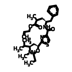 C=CCOC(=O)[C@@H](C)C[C@H](Cc1ccccc1)NC(=O)c1csc([C@@H](C[C@@H](NC)C(C)C)OCCC)n1